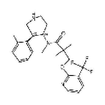 Cc1ccccc1[C@H]1CNCC[C@@H]1N(C)C(=O)C(C)(C)COc1ncccc1C(F)(F)F